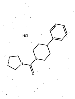 Cl.O=C(N1CCCC1)N1CCC(c2ccccc2)CC1